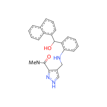 CNC(=O)c1n[nH]cc1CNc1ccccc1C(O)c1cccc2ccccc12